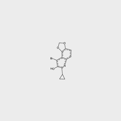 Oc1c(C2CC2)nc2ccc3c(c2c1Br)OCO3